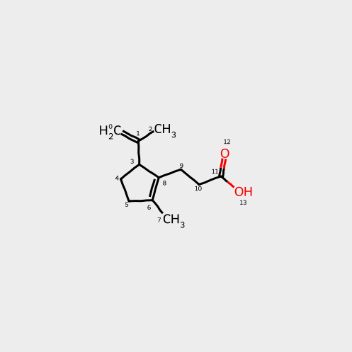 C=C(C)C1CCC(C)=C1CCC(=O)O